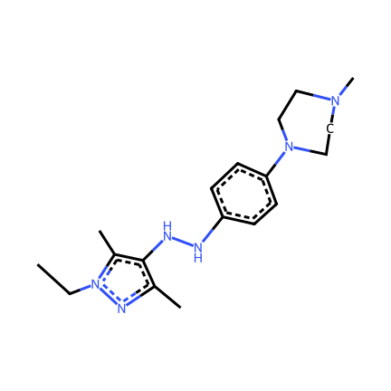 CCn1nc(C)c(NNc2ccc(N3CCN(C)CC3)cc2)c1C